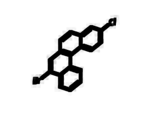 Clc1ccc2c(ccc3cc(Br)c4ccccc4c32)c1